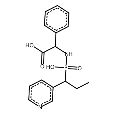 CCC(c1cccnc1)P(=O)(O)NC(C(=O)O)c1ccccc1